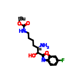 CC(C)(C)OC(=O)NCCCC[C@H](N)C(O)c1nc2ccc(F)cc2o1